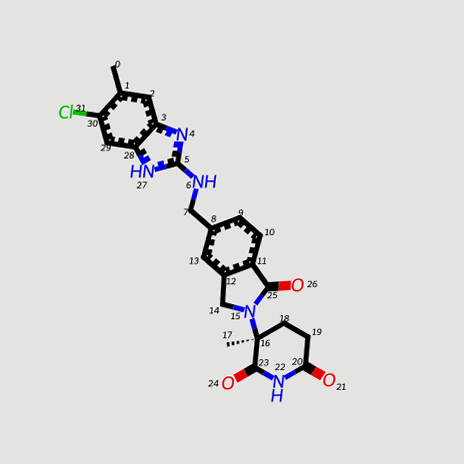 Cc1cc2nc(NCc3ccc4c(c3)CN([C@@]3(C)CCC(=O)NC3=O)C4=O)[nH]c2cc1Cl